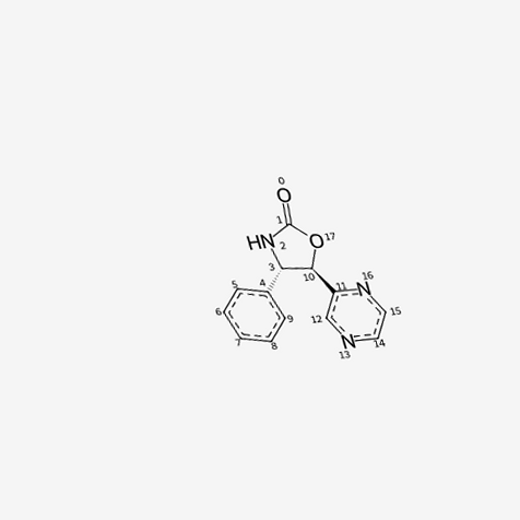 O=C1N[C@@H](c2ccccc2)[C@H](c2cnccn2)O1